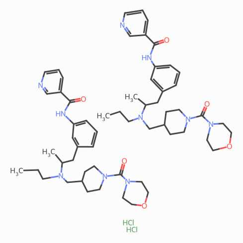 CCCN(CC1CCN(C(=O)N2CCOCC2)CC1)C(C)Cc1cccc(NC(=O)c2cccnc2)c1.CCCN(CC1CCN(C(=O)N2CCOCC2)CC1)C(C)Cc1cccc(NC(=O)c2cccnc2)c1.Cl.Cl